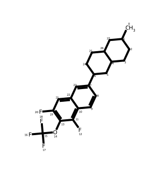 CC1CCC2CC(c3ccc4c(F)c(OC(F)(F)F)c(F)cc4c3)CCC2C1